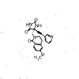 COc1ccc2c(c1)CCN(C[C@@]1(C#Cc3cccnc3)NC(=O)NC1=O)C2=O